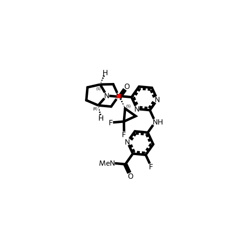 CNC(=O)c1ncc(Nc2nccc(N3C[C@H]4CC[C@@H](C3)N4C(=O)[C@@H]3CC3(F)F)n2)cc1F